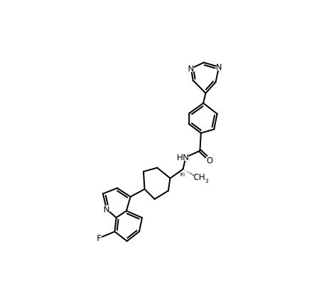 C[C@@H](NC(=O)c1ccc(-c2cncnc2)cc1)C1CCC(c2ccnc3c(F)cccc23)CC1